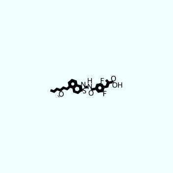 CCCC(CCc1cccc2c1CCc1sc(NC(=O)c3cc(F)c(/C=C(\C)C(=O)O)c(F)c3)nc1-2)OC